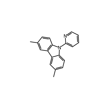 Cc1ccc2c(c1)c1cc(C)ccc1n2-c1ccccn1